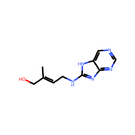 C/C(=C\CNc1nc2ncncc2[nH]1)CO